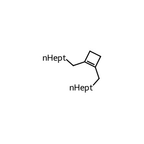 CCCCCCCCC1=C(CCCCCCCC)CC1